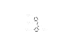 COc1ccc(C=CC(=O)c2cc(OC)ccc2OC)c(OC)c1